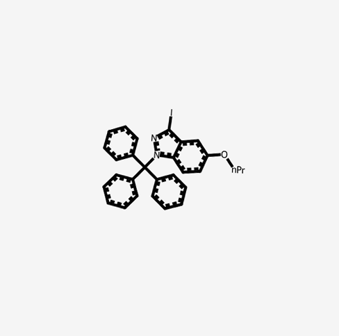 CCCOc1ccc2c(c1)c(I)nn2C(c1ccccc1)(c1ccccc1)c1ccccc1